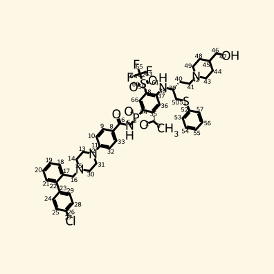 CCOP(=O)(NC(=O)c1ccc(N2CCN(Cc3ccccc3-c3ccc(Cl)cc3)CC2)cc1)c1ccc(N[C@H](CCN2CCC(CO)CC2)CSc2ccccc2)c(S(=O)(=O)C(F)(F)F)c1